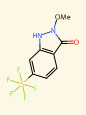 COn1[nH]c2cc(S(F)(F)(F)(F)F)ccc2c1=O